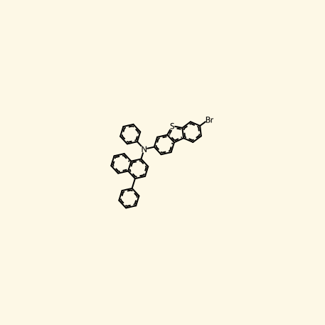 Brc1ccc2c(c1)sc1cc(N(c3ccccc3)c3ccc(-c4ccccc4)c4ccccc34)ccc12